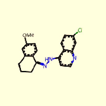 COc1ccc2c(c1)CCC/C2=N/Nc1ccnc2cc(Cl)ccc12